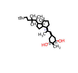 C=C1[C@H](O)CC(=C/C(C)=C2\CCC[C@@]3(C)C2CCC3[C@H](C)C(C)(C)CCC(C)(C)C)C[C@H]1O